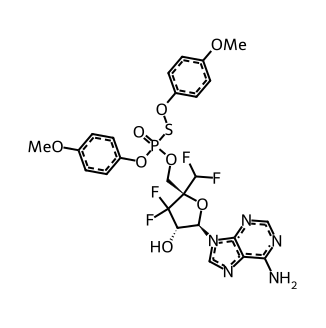 COc1ccc(OSP(=O)(OC[C@@]2(C(F)F)O[C@@H](n3cnc4c(N)ncnc43)[C@H](O)C2(F)F)Oc2ccc(OC)cc2)cc1